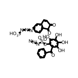 O=C1C=Cc2ccccc2C1=O.[N-]=[N+]=NS(=O)(=O)O.[N-]=[N+]=NS(=O)(=O)Oc1c(O)c(O)c(O)c(O)c1C(=O)c1ccccc1